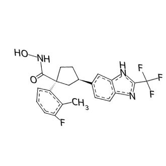 Cc1c(F)cccc1[C@]1(C(=O)NO)CC[C@@H](c2ccc3nc(C(F)(F)F)[nH]c3c2)C1